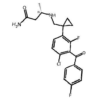 C[C@@H](CC(N)=O)NCC1(c2ccc(Cl)c(C(=O)c3ccc(F)cc3)c2F)CC1